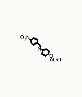 CCCCCCCCOc1ccc(N=Cc2ccc([N+](=O)[O-])cc2)cc1